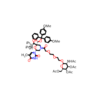 COc1ccc(C(OC[C@]2(C(O)[Si](C(C)C)(C(C)C)C(C)C)CN(C(=O)COCCOCCO[C@@H]3O[C@H](COC(C)=O)[C@H](OC(C)=O)[C@H](OC(C)=O)[C@H]3NC(C)=O)C[C@H](n3cc(C)c(=O)[nH]c3=O)O2)(c2ccccc2)c2ccc(OC)cc2)cc1